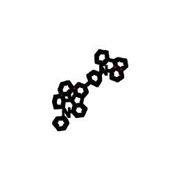 c1ccc(-c2ccccc2N(c2ccccc2)c2ccc(-c3ccc4c(c3)-c3cccc5c3C4(c3ccccc3)c3ccccc3N5c3ccccc3)cc2)cc1